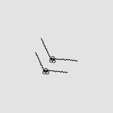 CCCCCCCCCCCCCCCC(=O)OC(=O)CCCCCCCCCCCCCCC.CCCCCCCCCCCCCCCCCC(=O)OC(=O)CCCCCCCCCCCCCCCCC